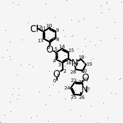 COCc1cc(Oc2cccc(Cl)c2)ccc1N1CC[C@H](Oc2ccccn2)C1